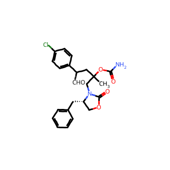 CC(CC(C=O)c1ccc(Cl)cc1)(CN1C(=O)OC[C@@H]1Cc1ccccc1)OC(N)=O